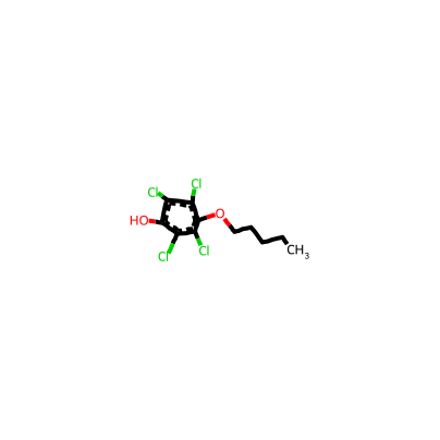 CCCCCOc1c(Cl)c(Cl)c(O)c(Cl)c1Cl